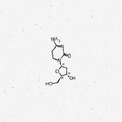 NC1=NC(=O)N([C@H]2C[C@@H](O)[C@@H](CO)O2)CC1